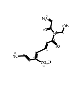 C=CC(=O)N(CO)C(=O)C=CC=C(C=CC#N)C(=O)OCC